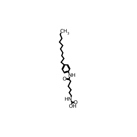 CCCCCCCCCCc1ccc(NC(=O)CCCCCNC(=O)O)cc1